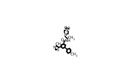 Cc1ccc(-c2cc(C(=O)N[C@H](C)CN3CCS(=O)(=O)CC3)cc(-c3scnc3C)c2)cc1